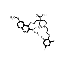 COc1ccc2ncc(N(C)C)c(CCCC3(C(=O)O)CCN(CCSc4c(F)cc(F)cc4F)CC3)c2c1